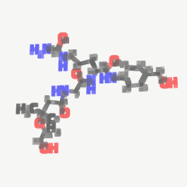 CC(C)(CC(=O)NCC(=O)N[C@@H](CCCNC(N)=O)C(=O)Nc1ccc(CO)cc1)OCCO